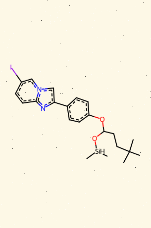 C[SiH](C)OC(CCC(C)(C)C)Oc1ccc(-c2cn3cc(I)ccc3n2)cc1